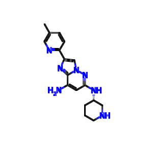 Cc1ccc(-c2cn3nc(N[C@H]4CCCNC4)cc(N)c3n2)nc1